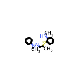 C=C(C=NN(C)c1ccccc1)Sc1ccccc1NC